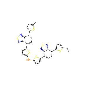 CCc1ccc(-c2ccc(-c3ccc(Pc4ccc(-c5ccc(-c6ccc(C)s6)c6nsnc56)s4)s3)c3nsnc23)s1